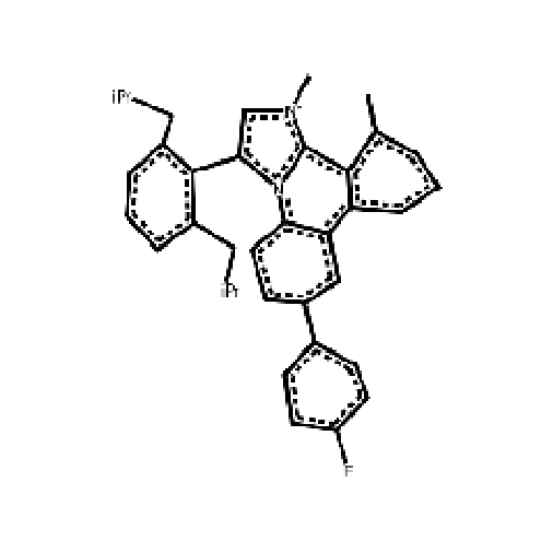 Cc1cccc2c3cc(-c4ccc(F)cc4)ccc3n3c(-c4c(CC(C)C)cccc4CC(C)C)c[n+](C)c3c12